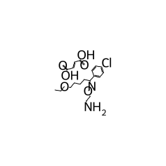 CCOCCCCC(=NOCCN)c1ccc(Cl)cc1.O=C(O)C=CC(=O)O